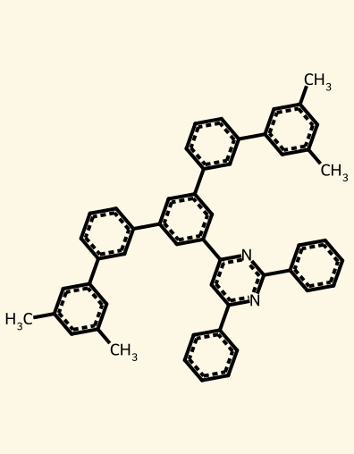 Cc1cc(C)cc(-c2cccc(-c3cc(-c4cccc(-c5cc(C)cc(C)c5)c4)cc(-c4cc(-c5ccccc5)nc(-c5ccccc5)n4)c3)c2)c1